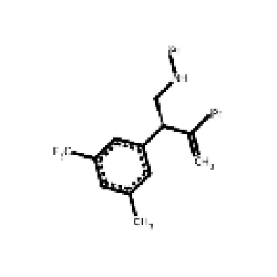 C=C(C(C)C)[C@H](CNC(C)C)c1cc(C)cc(C(F)(F)F)c1